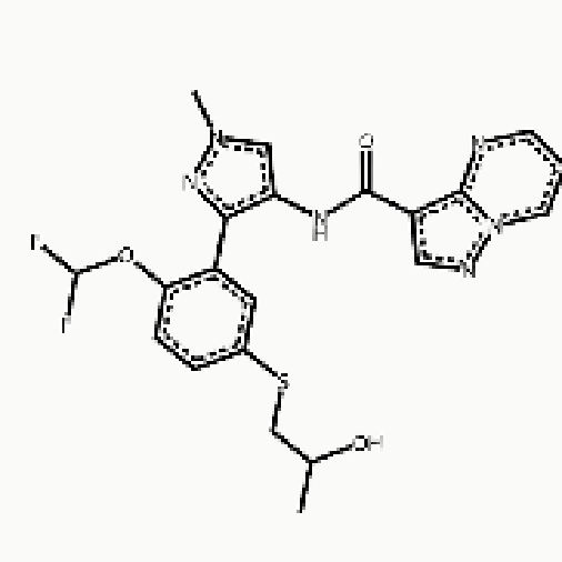 CC(O)CSc1ccc(OC(F)F)c(-c2nn(C)cc2NC(=O)c2cnn3cccnc23)c1